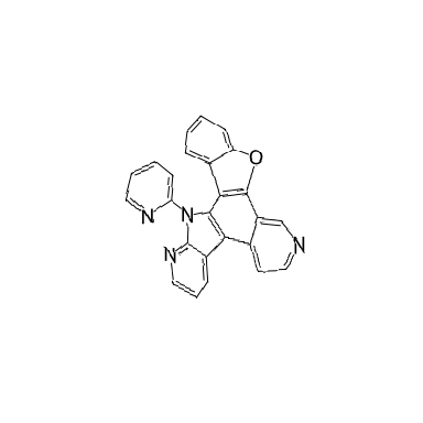 c1ccc(-n2c3ncccc3c3c4ccncc4c4oc5ccccc5c4c32)nc1